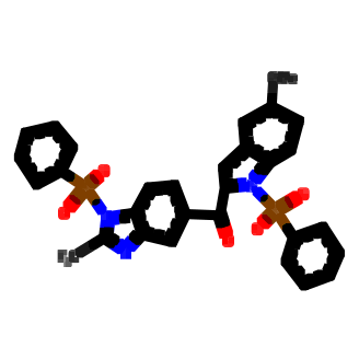 COc1ccc2c(c1)cc(C(=O)c1ccc3c(c1)nc(C(F)(F)F)n3S(=O)(=O)c1ccccc1)n2S(=O)(=O)c1ccccc1